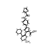 CN1CCC(C2CCCCC2)=C(c2cc(-c3ccc(NC(=O)c4cscn4)cc3)sc2C(=O)O)C1